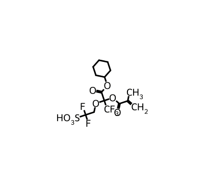 C=C(C)C(=O)OC(OCC(F)(F)S(=O)(=O)O)(C(=O)OC1CCCCC1)C(F)(F)F